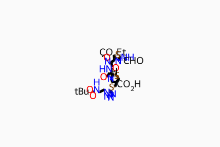 CCOC(=O)CON=C(C(=O)NC1C(=O)N2CC(CSc3nnnn3CCNC(=O)OC(C)(C)C)(C(=O)O)CS[C@H]12)c1csc(NC=O)n1